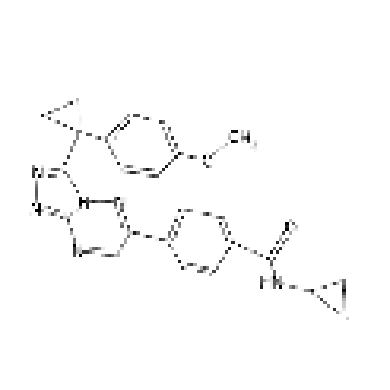 COc1ccc(C2(c3nnc4ncc(-c5ccc(C(=O)NC6CC6)cc5)nn34)CC2)cc1